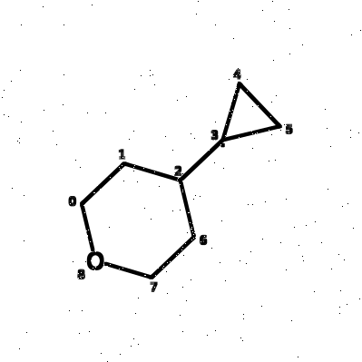 C1CC([C]2CC2)CCO1